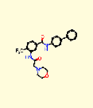 O=C(CN1CCOCC1)Nc1cc(C(=O)Nc2ccc(-c3ccccc3)cc2)ccc1C(F)(F)F